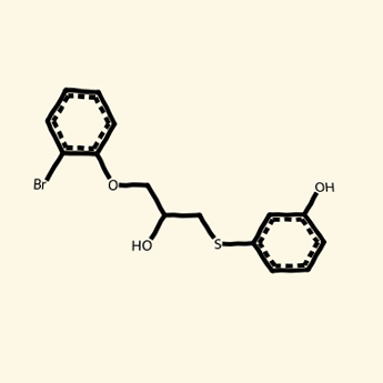 Oc1cccc(SCC(O)COc2ccccc2Br)c1